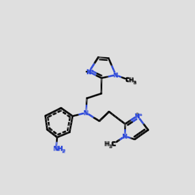 CN1C=C[N+]=C1CCN(CCC1=[N+]C=CN1C)c1cccc(N)c1